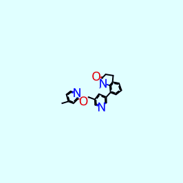 Cc1ccnc(OCc2cncc(-c3cccc4c3N(C)C(=O)CC4)c2)c1